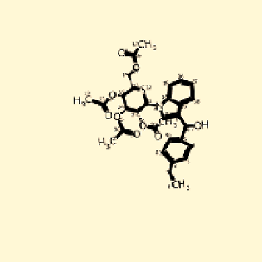 CCc1ccc(C(O)c2cn([C@@H]3S[C@H](COC(C)=O)[C@@H](OC(C)=O)[C@H](OC(C)=O)[C@H]3OC(C)=O)c3ccccc23)cc1